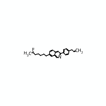 C=CCc1ccc(-c2cc3ccc(CCCCCC(C)F)cc3cn2)cc1